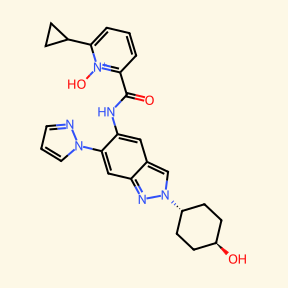 O=C(Nc1cc2cn([C@H]3CC[C@H](O)CC3)nc2cc1-n1cccn1)c1cccc(C2CC2)[n+]1O